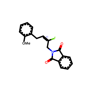 COc1ccccc1C/C=C(/F)CN1C(=O)c2ccccc2C1=O